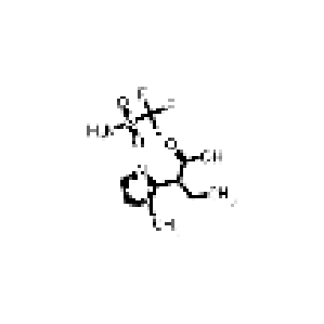 CCC(C(=O)O)c1nccn1C.NS(=O)(=O)C(F)(F)F